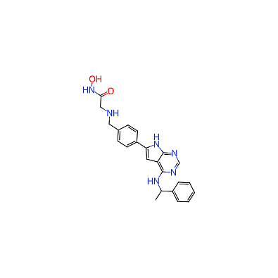 CC(Nc1ncnc2[nH]c(-c3ccc(CNCC(=O)NO)cc3)cc12)c1ccccc1